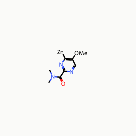 COc1cnc(C(=O)N(C)C)n[c]1[Zn]